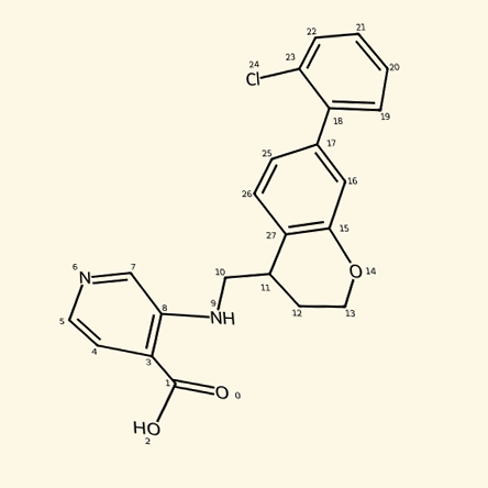 O=C(O)c1ccncc1NCC1CCOc2cc(-c3ccccc3Cl)ccc21